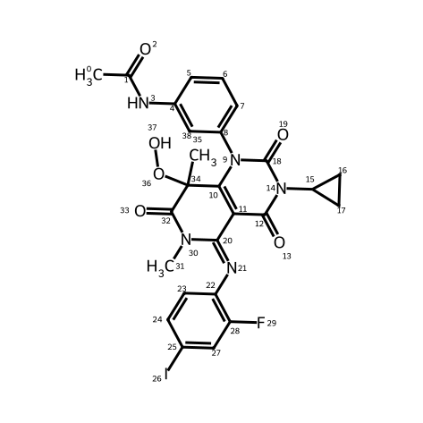 CC(=O)Nc1cccc(-n2c3c(c(=O)n(C4CC4)c2=O)C(=Nc2ccc(I)cc2F)N(C)C(=O)C3(C)OO)c1